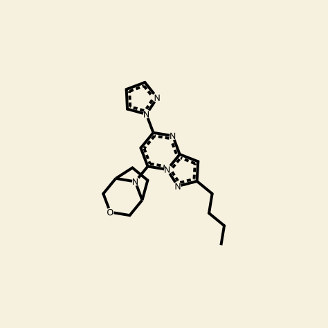 CCCCc1cc2nc(-n3cccn3)cc(N3C4CCC3COC4)n2n1